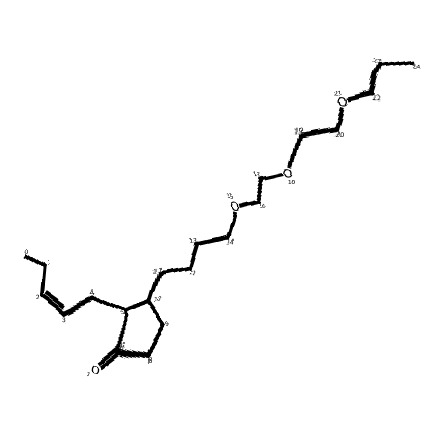 CC/C=C\CC1C(=O)CCC1CCCCOCCOCCOCCC